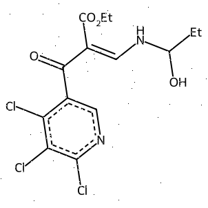 CCOC(=O)C(=CNC(O)CC)C(=O)c1cnc(Cl)c(Cl)c1Cl